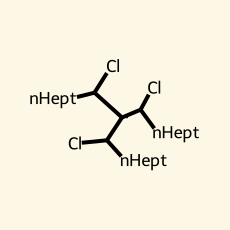 CCCCCCCC(Cl)[C](C(Cl)CCCCCCC)C(Cl)CCCCCCC